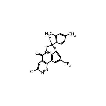 Cc1ccc(C(F)(F)CNC(=O)c2cc(Cl)nnc2-c2cccc(C(F)(F)F)c2)c(C)c1